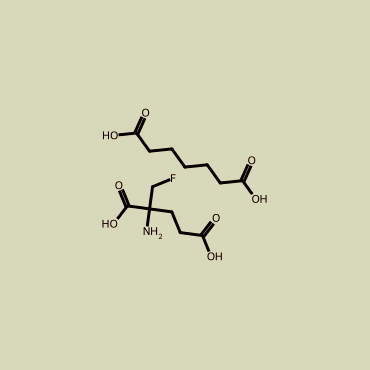 NC(CF)(CCC(=O)O)C(=O)O.O=C(O)CCCCCC(=O)O